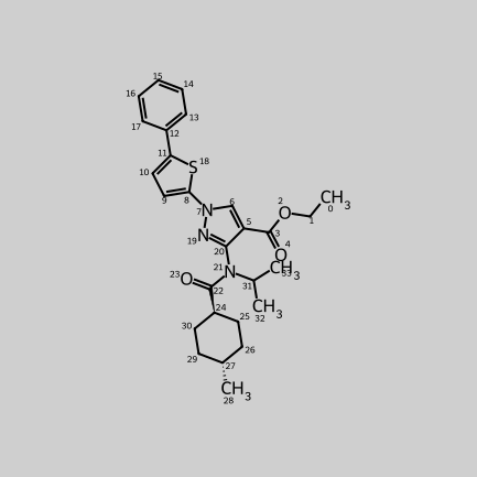 CCOC(=O)c1cn(-c2ccc(-c3ccccc3)s2)nc1N(C(=O)[C@H]1CC[C@H](C)CC1)C(C)C